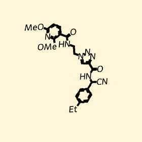 CCc1ccc(C(C#N)NC(=O)c2cn(CCNC(=O)c3ccc(OC)nc3OC)nn2)cc1